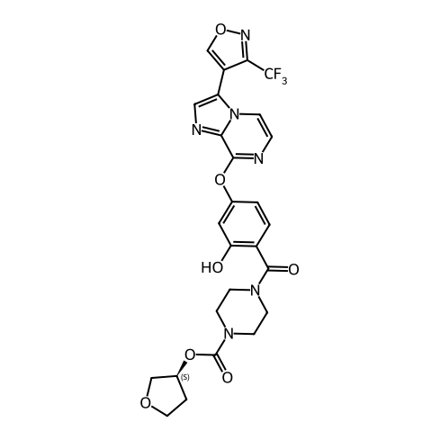 O=C(O[C@H]1CCOC1)N1CCN(C(=O)c2ccc(Oc3nccn4c(-c5conc5C(F)(F)F)cnc34)cc2O)CC1